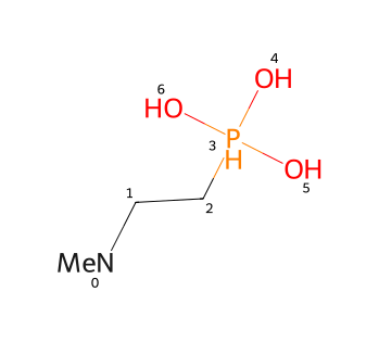 CNCC[PH](O)(O)O